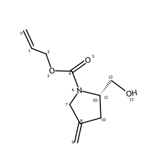 C=CCOC(=O)N1CC(=C)C[C@H]1CO